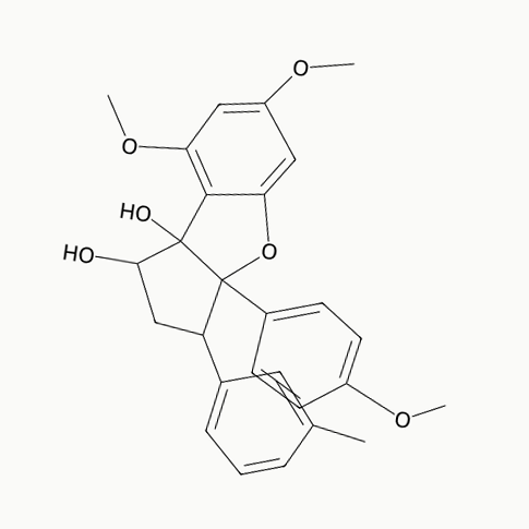 COc1ccc(C23Oc4cc(OC)cc(OC)c4C2(O)C(O)CC3c2cccc(C)c2)cc1